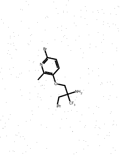 Cc1nc(Br)ccc1OCC(N)(CC(C)C)C(F)(F)F